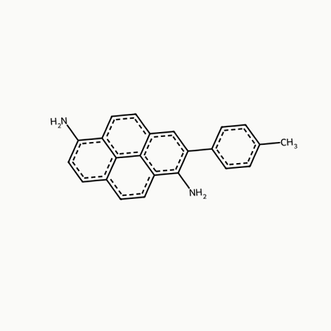 Cc1ccc(-c2cc3ccc4c(N)ccc5ccc(c2N)c3c54)cc1